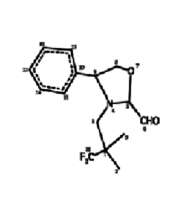 CC(C)(CN1C(C=O)OCC1c1ccccc1)C(F)(F)F